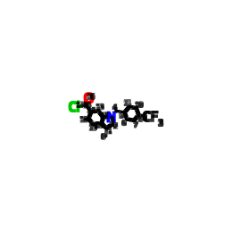 Cc1cn(Cc2ccc(C(F)(F)F)cc2)c2cc(C(=O)Cl)ccc12